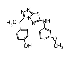 COc1cccc(Nc2nn3c(C(C)c4ccc(O)cc4)nnc3s2)c1